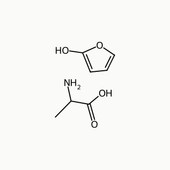 CC(N)C(=O)O.Oc1ccco1